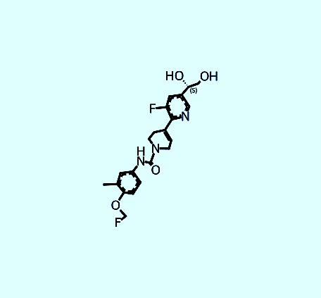 Cc1cc(NC(=O)N2CC=C(c3ncc([C@H](O)CO)cc3F)CC2)ccc1OCF